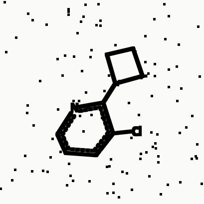 Clc1cccnc1C1[CH]CC1